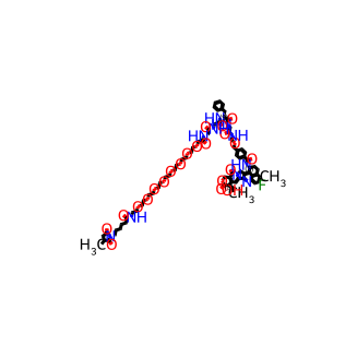 CC[C@@]1(O)C(=O)OCc2c1cc1n(c2=O)Cc2c-1nc1cc(F)c(C)c3c1c2[C@@H](NC(=O)c1ccc(COCNC(=O)CNC(=O)[C@H](Cc2ccccc2)NC(=O)CNC(=O)CNC(=O)COCCOCCOCCOCCOCCOCCOCCOCCNC(=O)CCCCCN2C(=O)CC(C)C2=O)cc1)CC3